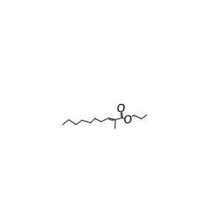 CCCCCCC/C=C(\C)C(=O)OCCC